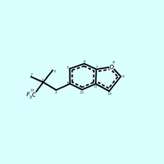 CC(C)(Cc1ccc2occc2c1)C(F)(F)F